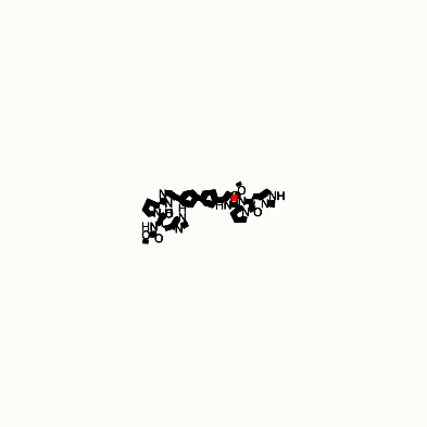 COC(=O)N[C@@H](Cc1c[nH]cn1)C(=O)N1CCC[C@H]1c1ncc(-c2ccc(-c3ccc(-c4cnc([C@]56CCCN5C(=O)[C@H](Cc5c[nH]cn5)N6C(=O)OC)[nH]4)cc3)cc2)[nH]1